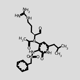 CC(=O)N(c1cc(CC(C)C)[nH]c(=O)c1NS(=O)(=O)Cc1ccccc1)[C@H](C=O)CCCNC(=N)N